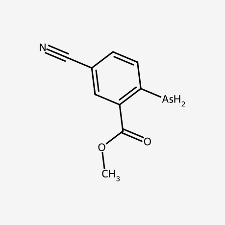 COC(=O)c1cc(C#N)ccc1[AsH2]